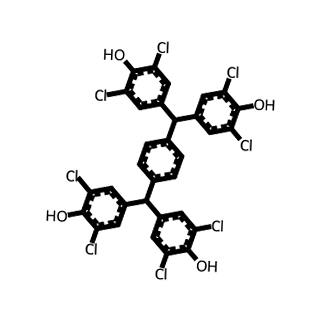 Oc1c(Cl)cc(C(c2ccc(C(c3cc(Cl)c(O)c(Cl)c3)c3cc(Cl)c(O)c(Cl)c3)cc2)c2cc(Cl)c(O)c(Cl)c2)cc1Cl